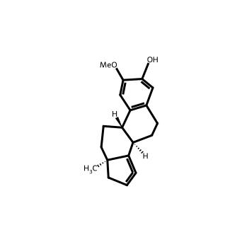 COc1cc2c(cc1O)CC[C@H]1C3=C=CC[C@@]3(C)CC[C@H]21